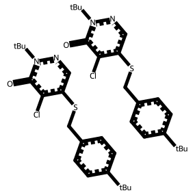 CC(C)(C)c1ccc(CSc2cnn(C(C)(C)C)c(=O)c2Cl)cc1.CC(C)(C)c1ccc(CSc2cnn(C(C)(C)C)c(=O)c2Cl)cc1